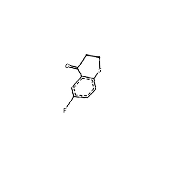 O=C1CCSc2ccc(F)cc21